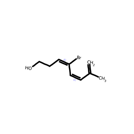 C=C(C)/C=C\C(Br)=C/CCO